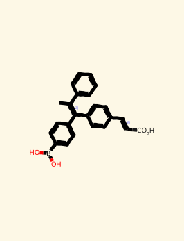 C/C(=C(/c1ccc(/C=C/C(=O)O)cc1)c1ccc(B(O)O)cc1)c1ccccc1